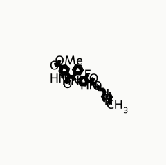 COC(=O)c1ccc2c(c1)NC(=O)/C2=C(\Nc1ccc(C(=O)NOCCN2CCN(C)CC2)c(F)c1)c1ccccc1